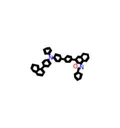 C1=Cc2c(cc(-c3ccc(-c4ccc(N(c5ccccc5)c5ccc(-c6cccc7ccccc67)cc5)cc4)cc3)c3oc(-c4ccccc4)nc23)CC1